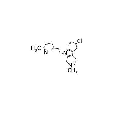 Cc1ccc(CCn2c3c(c4cc(Cl)ccc42)CCN(C)C3)cn1